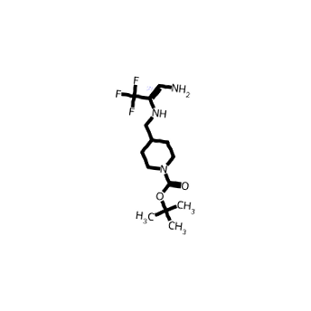 CC(C)(C)OC(=O)N1CCC(CN/C(=C\N)C(F)(F)F)CC1